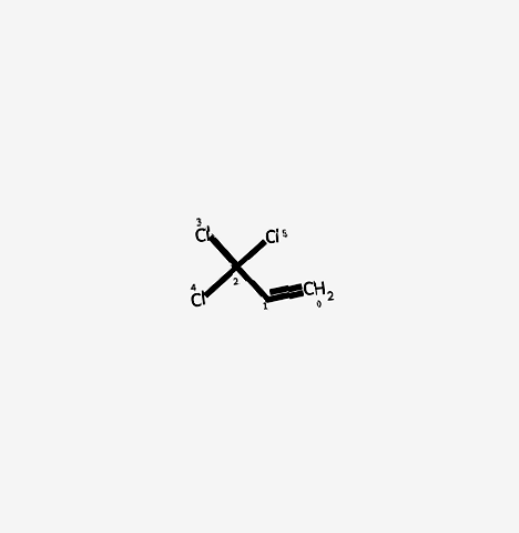 C=CC(Cl)(Cl)Cl